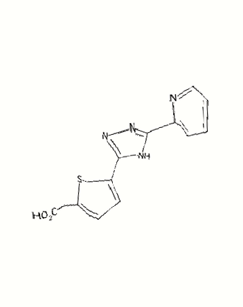 O=C(O)c1ccc(-c2nnc(-c3ccccn3)[nH]2)s1